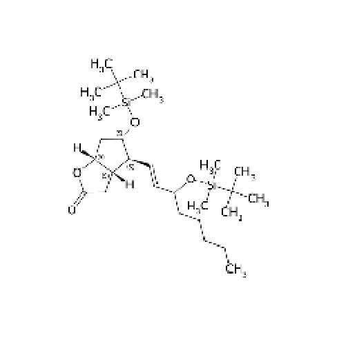 CCCCCC(C=C[C@H]1[C@@H]2CC(=O)O[C@@H]2C[C@@H]1O[Si](C)(C)C(C)(C)C)O[Si](C)(C)C(C)(C)C